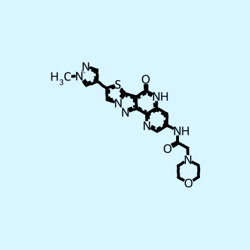 Cn1cc(-c2cn3nc4c5ncc(NC(=O)CN6CCOCC6)cc5[nH]c(=O)c4c3s2)cn1